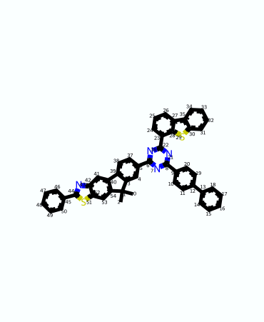 CC1(C)c2cc(-c3nc(-c4ccc(-c5ccccc5)cc4)nc(-c4cccc5c4sc4ccccc45)n3)ccc2-c2cc3nc(-c4ccccc4)sc3cc21